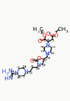 CCOC(=O)CC(C(=O)OCC)N1CCN(CC2CN(CCCN3CCN(C(=N)N)CC3)C(=O)O2)CC1